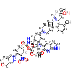 Cc1ccccc1[C@H]1C[C@](C)(O)CCN1C1CC2(CCN(c3ccc(C(=O)NS(=O)(=O)c4ccc(NCC5CCOCC5)c([N+](=O)[O-])c4)c(N4c5cc6cc[nH]c6nc5O[C@H]5COCC[C@@H]54)c3)CC2)C1